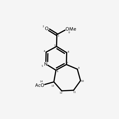 COC(=O)c1cnc2c(c1)CCCCC2OC(C)=O